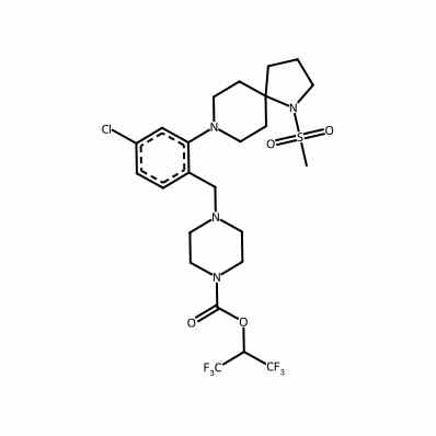 CS(=O)(=O)N1CCCC12CCN(c1cc(Cl)ccc1CN1CCN(C(=O)OC(C(F)(F)F)C(F)(F)F)CC1)CC2